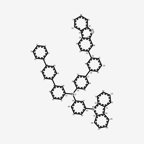 c1ccc(-c2ccc(-c3cccc(N(c4ccc(-c5cccc(-c6ccc7c(c6)oc6ccccc67)c5)cc4)c4cccc(-n5c6ccccc6c6ccccc65)c4)c3)cc2)cc1